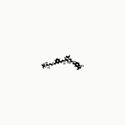 Cc1c[nH]c2ccc(CNC(=O)Cn3c(C)cnc(NCCc4cccc(COCCNC(=O)OC(C)(C)C)c4)c3=O)cc12